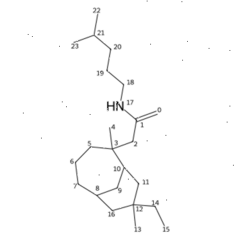 C=C(CC1(C)CCCC2CC1CC(C)(CC)C2)NCCCC(C)C